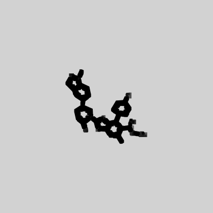 CC(=O)[C@@H](OC(C)(C)C)c1c(C)cc2nc(-n3cc(-c4ccc5c(cnn5C)c4)ccc3=O)sc2c1-c1ccc(Cl)cc1